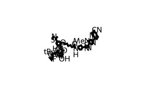 CNc1cc(-c2ccc3cc(C#N)cnn23)ncc1-c1nnc(C2CCC(NC(=O)CCCCCOc3cc(-c4scnc4C)ccc3CNC(=O)[C@@H]3C[C@@H](O)CN3C(=O)[C@@H](NC(=O)C3(F)CC3)C(C)(C)C)CC2)s1